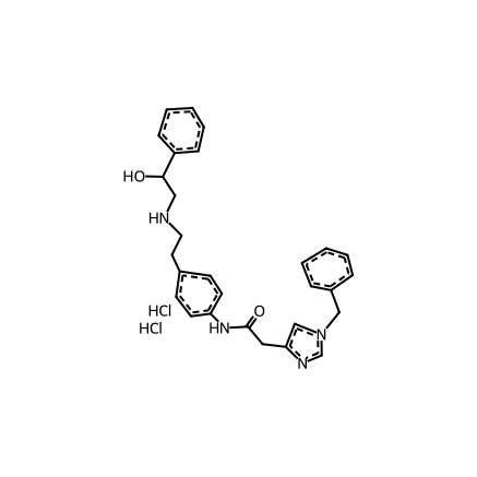 Cl.Cl.O=C(Cc1cn(Cc2ccccc2)cn1)Nc1ccc(CCNCC(O)c2ccccc2)cc1